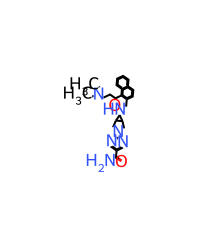 CCN(CC)CCC(=O)c1c(CNC2C3CN(c4ncc(C(N)=O)cn4)CC32)ccc2ccccc12